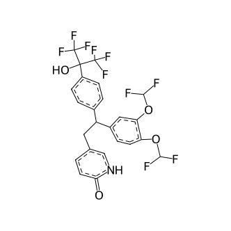 O=c1ccc(CC(c2ccc(C(O)(C(F)(F)F)C(F)(F)F)cc2)c2ccc(OC(F)F)c(OC(F)F)c2)c[nH]1